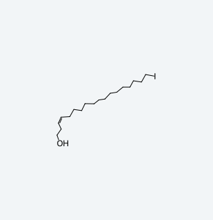 OCC/C=C\CCCCCCCCCCCCCCI